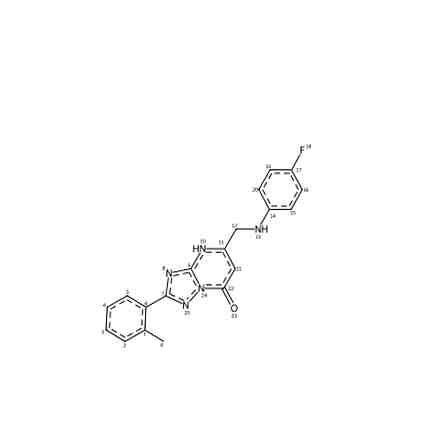 Cc1ccccc1-c1nc2[nH]c(CNc3ccc(F)cc3)cc(=O)n2n1